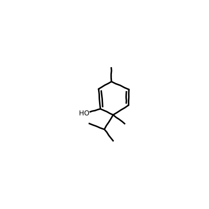 CC1C=CC(C)(C(C)C)C(O)=C1